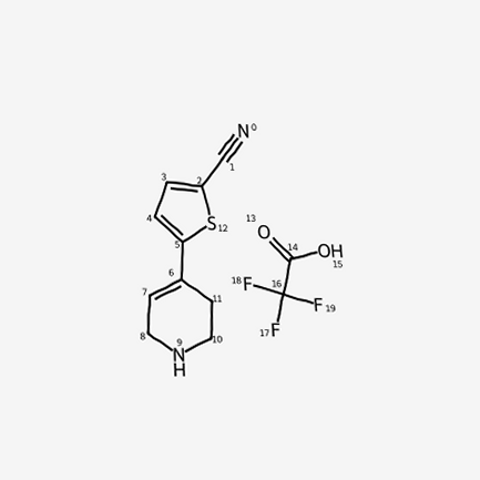 N#Cc1ccc(C2=CCNCC2)s1.O=C(O)C(F)(F)F